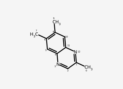 Cc1[c]nc2cc(C)c(C)cc2n1